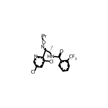 CC(C)ON=C(c1ncc(Cl)cc1Cl)[C@H](C)NC(=O)c1ccccc1C(F)(F)F